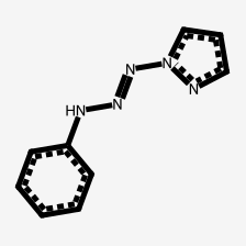 c1ccc(NN=Nn2cccn2)cc1